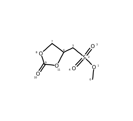 COS(=O)(=O)CC1COC(=O)O1